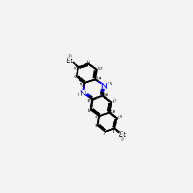 CCc1ccc2cc3nc4cc(CC)ccc4nc3cc2c1